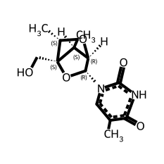 Cc1cn([C@@H]2O[C@@]3(CO)[C@H](C)O[C@@H]2[C@@H]3C)c(=O)[nH]c1=O